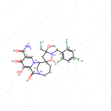 COC1(CF)CC2(CCCN3CC2n2cc(C(N)=O)c(=O)c(O)c2C3=O)ON1Cc1c(F)cc(F)cc1F